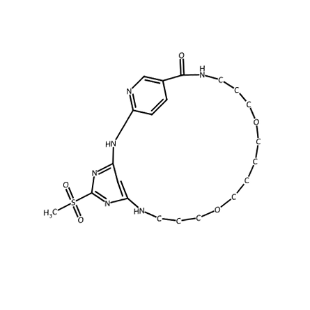 CS(=O)(=O)c1nc2cc(n1)Nc1ccc(cn1)C(=O)NCCCOCCCCOCCCN2